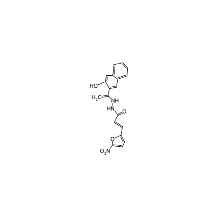 C=C(NNC(=O)/C=C/c1ccc([N+](=O)[O-])o1)c1cc2ccccc2cc1O